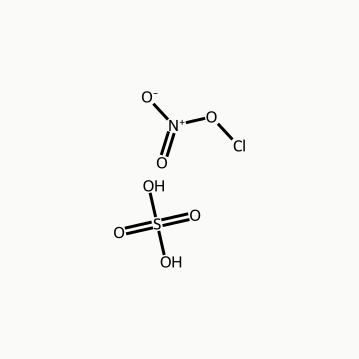 O=S(=O)(O)O.O=[N+]([O-])OCl